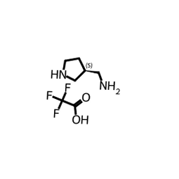 NC[C@@H]1CCNC1.O=C(O)C(F)(F)F